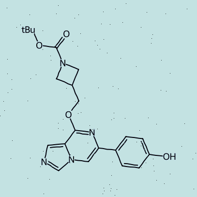 CC(C)(C)OC(=O)N1CC(COc2nc(-c3ccc(O)cc3)cn3cncc23)C1